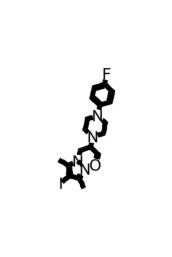 Cc1nn(CC(C=O)N2CCN(c3ccc(F)cc3)CC2)c(C)c1I